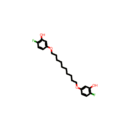 Oc1cc(OCCCCCCCCCCOc2ccc(F)c(O)c2)ccc1F